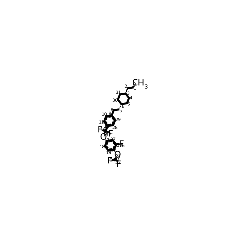 CCC[C@H]1CC[C@H](CCc2ccc(C(F)(F)Oc3ccc(OC(F)F)c(F)c3)cc2)CC1